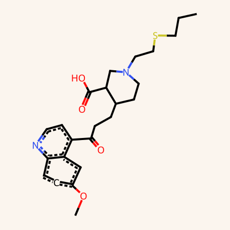 CCCSCCN1CCC(CCC(=O)c2ccnc3ccc(OC)cc23)C(C(=O)O)C1